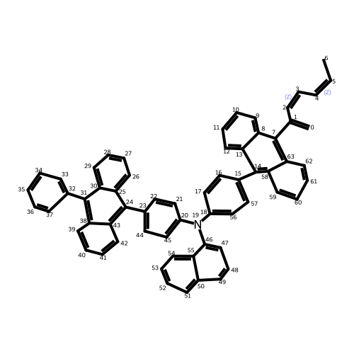 C=C(/C=C\C=C/C)c1c2ccccc2c(-c2ccc(N(c3ccc(-c4c5ccccc5c(-c5ccccc5)c5ccccc45)cc3)c3cccc4ccccc34)cc2)c2ccccc12